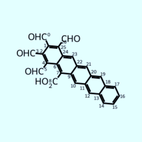 O=Cc1c(C=O)c(C=O)c2c(C(=O)O)c3cc4cc5ccccc5cc4cc3cc2c1C=O